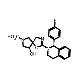 O=C(O)N1C[C@H](O)[C@]2(CN=C(N3CCc4ccccc4[C@@H]3c3ccc(F)cc3)O2)C1